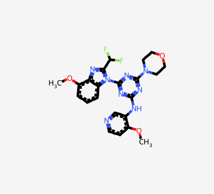 COc1ccncc1Nc1nc(N2CCOCC2)nc(-n2c(C(F)F)nc3c(OC)cccc32)n1